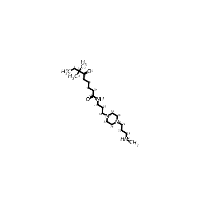 CCC(C)(C)C(=O)CCCCC(=O)NCCCN1CCN(CCCNC)CC1